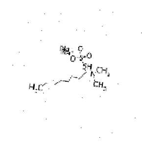 CCCCCCCC([SH-]S(=O)(=O)[O-])N(C)C.[Na+].[Na+]